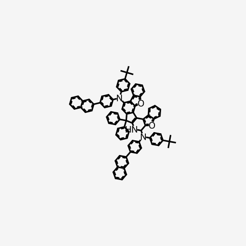 CC(C)(C)c1ccc(N(c2ccc(-c3ccc4ccccc4c3)cc2)c2cc3c(c4oc5ccccc5c24)C2=C(NC(N(c4ccc(-c5ccc6ccccc6c5)cc4)c4ccc(C(C)(C)C)cc4)c4oc5ccccc5c42)C3(c2ccccc2)c2ccccc2)cc1